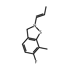 CC=CN1Cc2ccc(F)c(C)c2S1